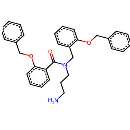 NCCCN(Cc1ccccc1OCc1ccccc1)C(=O)c1ccccc1OCc1ccccc1